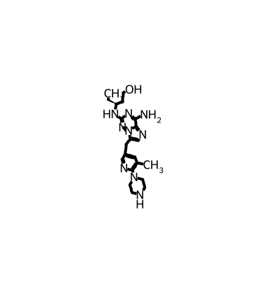 CC[C@@H](CCO)Nc1nc(N)c2ncc(Cc3cnc(N4CCNCC4)c(C)c3)n2n1